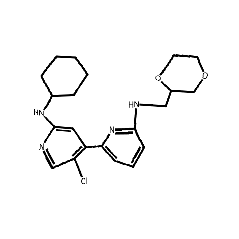 Clc1cnc(NC2CCCCC2)cc1-c1cccc(NCC2COCCO2)n1